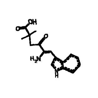 CC(C)(CC(=O)C(N)=Cc1c[nH]c2ccccc12)C(=O)O